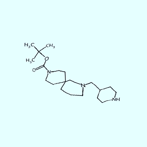 CC(C)(C)OC(=O)N1CCC2(CCCN(CC3CCNCC3)C2)CC1